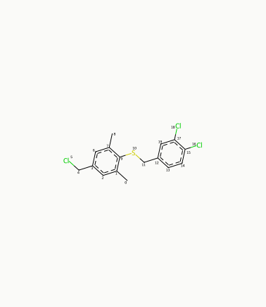 Cc1cc(CCl)cc(C)c1SCc1ccc(Cl)c(Cl)c1